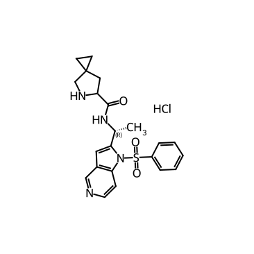 C[C@@H](NC(=O)C1CC2(CC2)CN1)c1cc2cnccc2n1S(=O)(=O)c1ccccc1.Cl